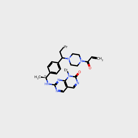 C=CC(=O)N1CCN(C(CC(C)C)c2ccc([C@H](C)Nc3ncc4cnc(=O)n(CC)c4n3)cc2)CC1